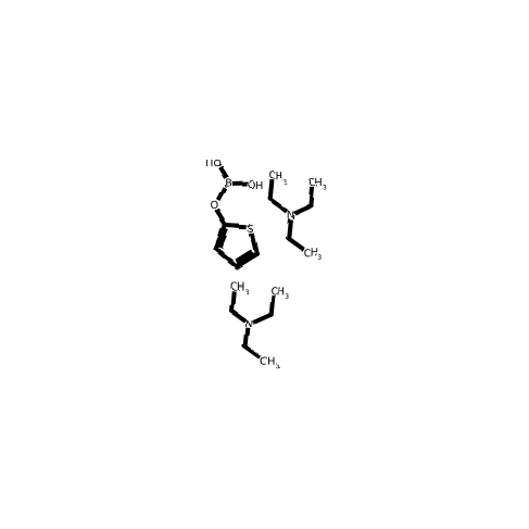 CCN(CC)CC.CCN(CC)CC.OB(O)Oc1cccs1